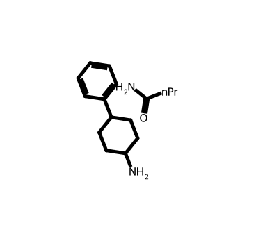 CCCC(N)=O.NC1CCC(c2ccccc2)CC1